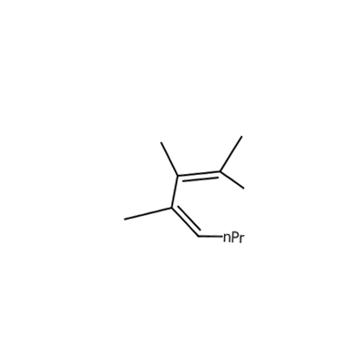 CCCC=C(C)C(C)=C(C)C